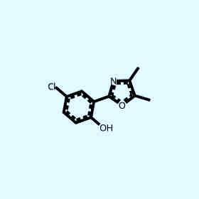 Cc1nc(-c2cc(Cl)ccc2O)oc1C